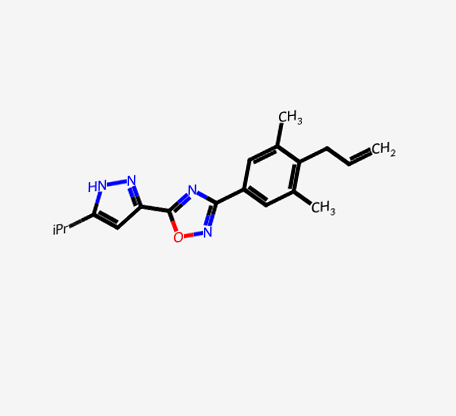 C=CCc1c(C)cc(-c2noc(-c3cc(C(C)C)[nH]n3)n2)cc1C